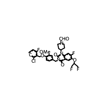 COc1cc(Cn2c(=O)c3cc(OC(CF)CF)c(F)cc3n(C3CCN(C=O)CC3)c2=O)ccc1OCc1c(F)cccc1Cl